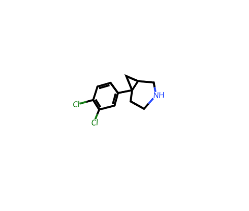 Clc1ccc(C23CCNCC2C3)cc1Cl